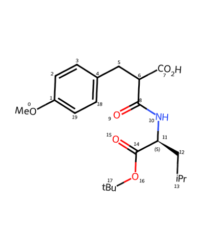 COc1ccc(CC(C(=O)O)C(=O)N[C@@H](CC(C)C)C(=O)OC(C)(C)C)cc1